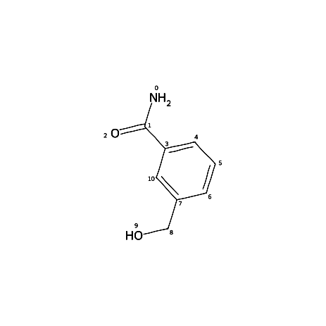 NC(=O)c1cccc(CO)c1